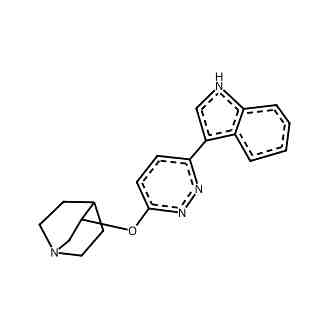 c1ccc2c(-c3ccc(OC4CN5CCC4CC5)nn3)c[nH]c2c1